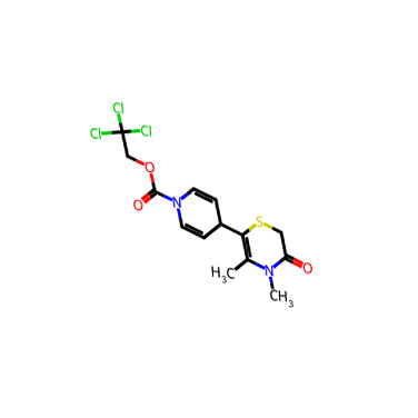 CC1=C(C2C=CN(C(=O)OCC(Cl)(Cl)Cl)C=C2)SCC(=O)N1C